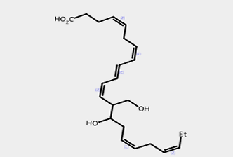 CC/C=C\C/C=C\CC(O)C(\C=C/C=C/C=C\C/C=C\CCC(=O)O)CO